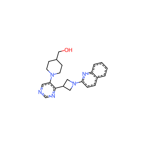 OCC1CCN(c2cncnc2C2CN(c3ccc4ccccc4n3)C2)CC1